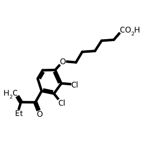 C=C(CC)C(=O)c1ccc(OCCCCCC(=O)O)c(Cl)c1Cl